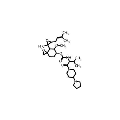 COC1C(OC(=O)NC(C(=O)N2CCC(N3CCCC3)CC2)C(C)C)CCC2(CO2)C1C1(C)OC1CC=C(C)C